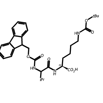 CC(C)C(NC(=O)OCC1c2ccccc2-c2ccccc21)C(=O)N[C@@H](CCCCNC(=O)OC(C)(C)C)C(=O)O